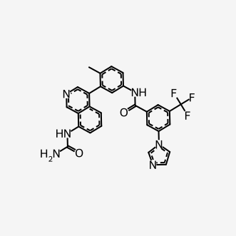 Cc1ccc(NC(=O)c2cc(-n3ccnc3)cc(C(F)(F)F)c2)cc1-c1cncc2c(NC(N)=O)cccc12